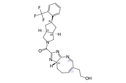 O=C(C1=N[C@H]2CC/C=C(CCO)\C=N/C2=N1)N1C[C@H]2C[C@@H](c3ccccc3C(F)(F)F)C[C@H]2C1